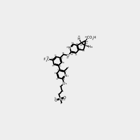 Cc1nc(OCCCS(C)(=O)=O)ccc1-c1cc(COc2cc3c(cn2)[C@H]2[C@@H](C3)[C@@H]2C(=O)O)cc(C(F)(F)F)c1